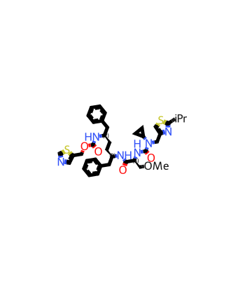 COC[C@H](NC(=O)N(Cc1csc(C(C)C)n1)C1CC1)C(=O)N[C@H](CC[C@H](Cc1ccccc1)NC(=O)OCc1cncs1)Cc1ccccc1